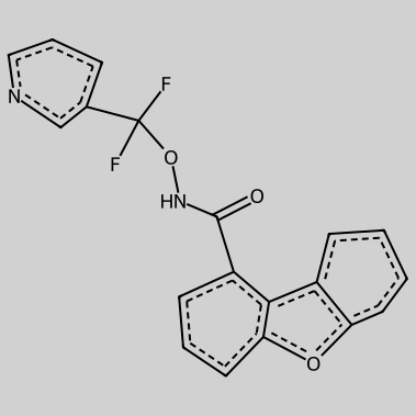 O=C(NOC(F)(F)c1cccnc1)c1cccc2oc3ccccc3c12